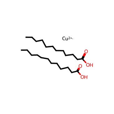 CCCCCCCCCCCC(=O)O.CCCCCCCCCCCC(=O)O.[Cu+2]